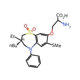 CCCC[C@]1(CC)CN(c2ccccc2)c2cc(SC)c(OCC(N)C(=O)O)cc2S(=O)(=O)C1